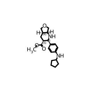 COC(=O)[C@H]1C[C@H]2COC[C@H]2N[C@H]1c1ccc(NC2CCCC2)cc1